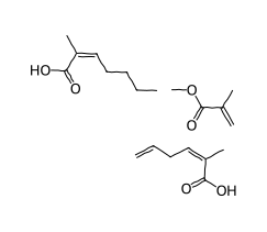 C=C(C)C(=O)OC.C=CCC=C(C)C(=O)O.CCCCC=C(C)C(=O)O